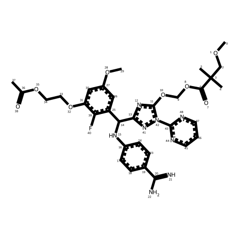 COCC(C)(C)C(=O)OCOc1nc(C(Nc2ccc(C(=N)N)cc2)c2cc(OC)cc(OCCOC(C)=O)c2F)nn1-c1ncccn1